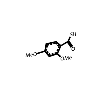 COc1ccc(C(=O)S)c(OC)c1